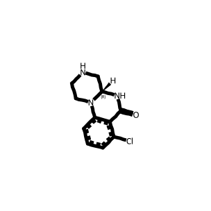 O=C1N[C@H]2CNCCN2c2cccc(Cl)c21